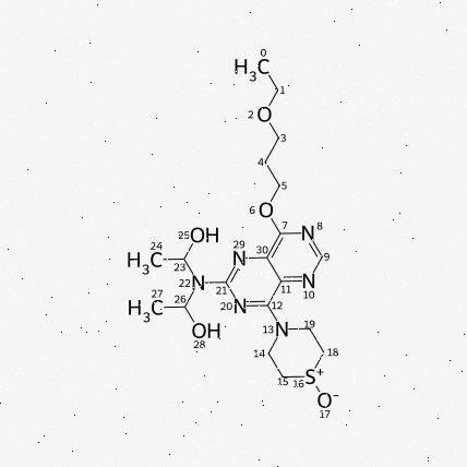 CCOCCCOc1ncnc2c(N3CC[S+]([O-])CC3)nc(N(C(C)O)C(C)O)nc12